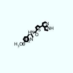 COc1ccc(C[C@H](CN)NC(=O)c2ccc(-c3ccnc4[nH]ccc34)s2)cc1